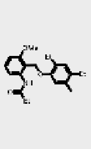 CCC(=O)Nc1cccc(OC)c1COc1cc(C)c(CC)cc1CC